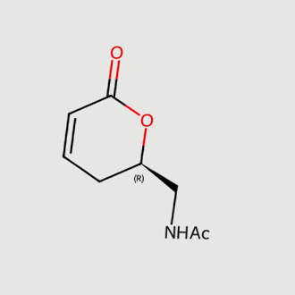 CC(=O)NC[C@H]1CC=CC(=O)O1